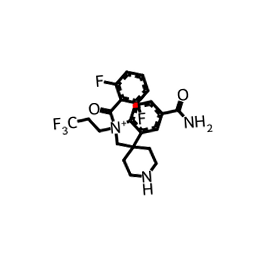 NC(=O)c1ccc2c(c1)C1(CCNCC1)C[N+]2(CCC(F)(F)F)C(=O)c1c(F)cccc1F